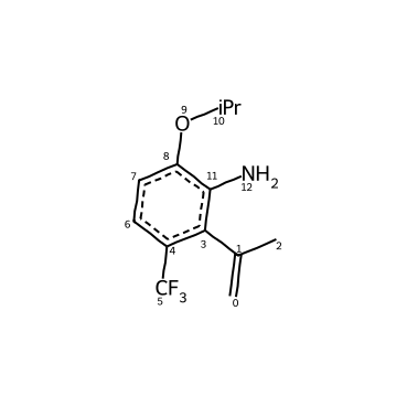 C=C(C)c1c(C(F)(F)F)ccc(OC(C)C)c1N